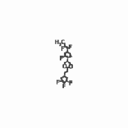 CC/C(F)=C(\F)c1ccc(C2COC(CCc3cc(F)c(F)c(F)c3)OC2)c(F)c1